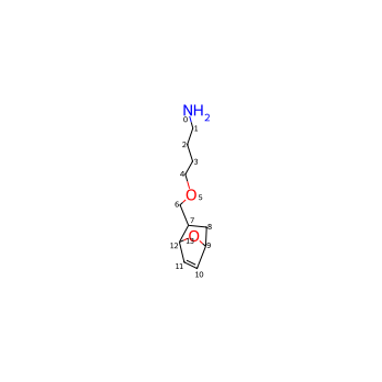 NCCCCOCC1CC2C=CC1O2